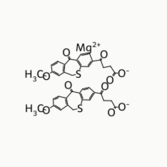 COc1ccc2c(c1)CSc1cc(C(=O)CCC(=O)[O-])ccc1C2=O.COc1ccc2c(c1)CSc1cc(C(=O)CCC(=O)[O-])ccc1C2=O.[Mg+2]